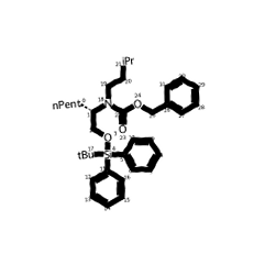 CCCCC[C@@H](CO[Si](c1ccccc1)(c1ccccc1)C(C)(C)C)N(CCC(C)C)C(=O)OCc1ccccc1